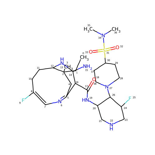 CCC1(C)C/C2=N\C=C(\F)CCC1NC(N)C2C(=O)NC1CNCC(F)C1N1CCC(S(=O)(=O)N(C)C)CC1